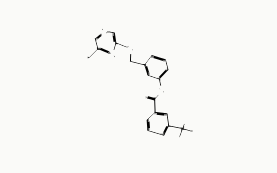 O=C(Nc1cccc(CNc2cncc(Cl)n2)c1)c1cccc(C(F)(F)F)c1